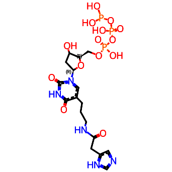 O=C(Cc1cnc[nH]1)NCCCc1cn([C@H]2CC(O)[C@@H](COP(=O)(O)OP(=O)(O)OP(O)O)O2)c(=O)[nH]c1=O